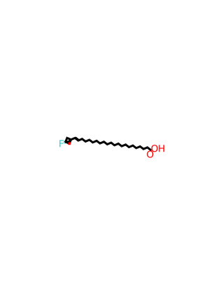 O=C(O)CCCCCCCCCCCCCCCCCCCC=CC12CC(F)(C1)C2